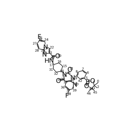 CC1(C)OB(c2cccc(-n3c(=O)n(C4CCC(NC(=O)c5cn6cc(F)ccc6n5)CC4)c(=O)c4cc(F)cnc43)c2)OC1(C)C